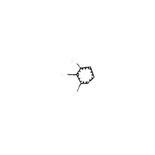 CCCCc1c(CC)cccc1CC